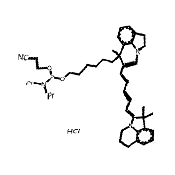 CC(C)N(C(C)C)P(OCCC#N)OCCCCCCC1(C)C(/C=C/C=C/C=C2/N3CCCc4cccc(c43)C2(C)C)=CN2CCc3cccc1c32.Cl